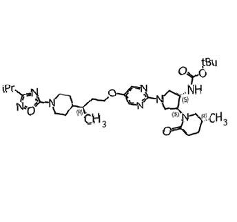 CC(C)c1noc(N2CCC([C@H](C)CCOc3cnc(N4C[C@H](NC(=O)OC(C)(C)C)[C@@H](N5C[C@H](C)CCC5=O)C4)nc3)CC2)n1